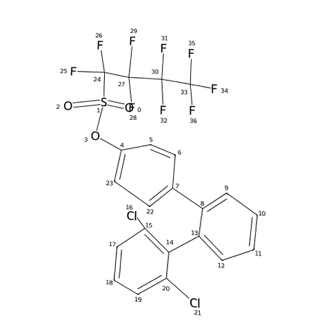 O=S(=O)(Oc1ccc(-c2ccccc2-c2c(Cl)cccc2Cl)cc1)C(F)(F)C(F)(F)C(F)(F)C(F)(F)F